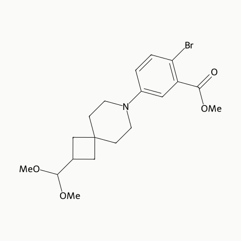 COC(=O)c1cc(N2CCC3(CC2)CC(C(OC)OC)C3)ccc1Br